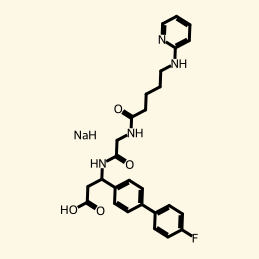 O=C(O)CC(NC(=O)CNC(=O)CCCCNc1ccccn1)c1ccc(-c2ccc(F)cc2)cc1.[NaH]